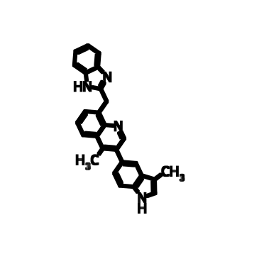 Cc1c[nH]c2ccc(-c3cnc4c(Cc5nc6ccccc6[nH]5)cccc4c3C)cc12